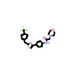 O=C(CN1CCOCC1)Nc1ccc(-c2csc(Cc3ccc(C(F)(F)F)cc3)n2)cc1